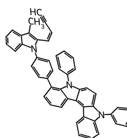 C#C/C=C\c1c(C)c2ccccc2n1-c1ccc(-c2cccc3c4c5c6ccccc6n(-c6ccccc6)c5ccc4n(-c4ccccc4)c23)cc1